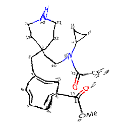 COC(=O)c1cccc(CC2(CN(C(=O)C(F)(F)F)C3CC3)CCNCC2)c1